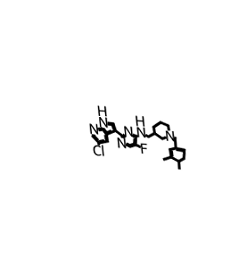 CC1=CC(CN2CCCC(CNc3nc(-c4c[nH]c5ncc(Cl)cc45)ncc3F)C2)=CCC1C